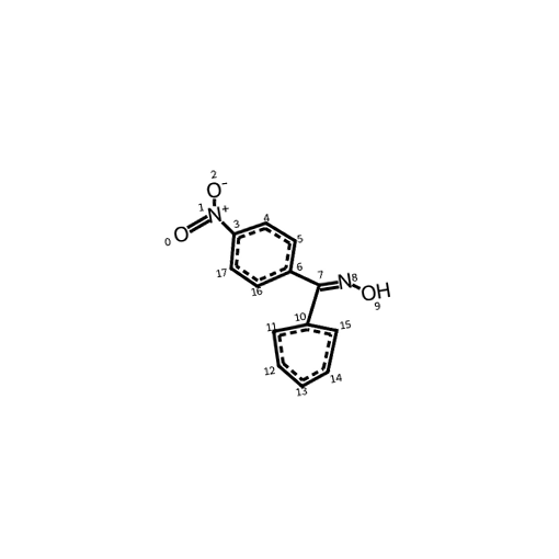 O=[N+]([O-])c1ccc(C(=NO)c2ccccc2)cc1